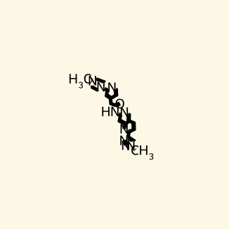 CN1CCN(c2cc(CC(=O)Nc3cc4nc(-c5cn(C)nn5)ccc4cn3)ccn2)CC1